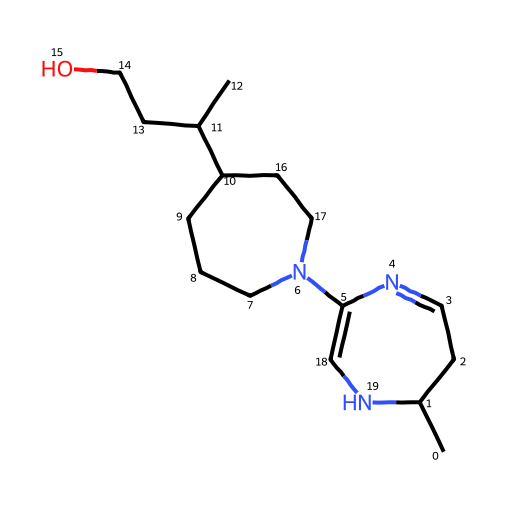 CC1CC=NC(N2CCCC(C(C)CCO)CC2)=CN1